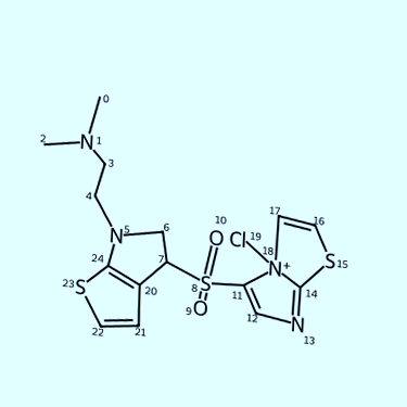 CN(C)CCN1CC(S(=O)(=O)C2=CN=C3SC=C[N+]23Cl)c2ccsc21